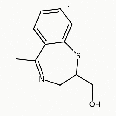 CC1=NCC(CO)Sc2ccccc21